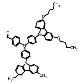 CCCCOc1ccc2c(c1)c1cc(OCCCC)ccc1n2-c1ccc(N(c2ccc(C=O)cc2)c2ccc(-n3c4ccc(C)cc4c4cc(C)ccc43)cc2)cc1